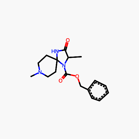 CC1C(=O)NC2(CCN(C)CC2)N1C(=O)OCc1ccccc1